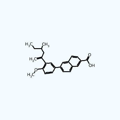 C=C(CC(C)CC)c1cc(-c2ccc3cc(C(=O)O)ccc3c2)ccc1OC